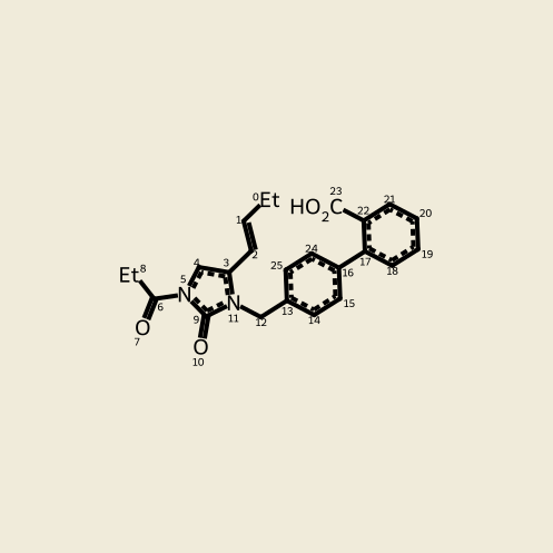 CC/C=C/c1cn(C(=O)CC)c(=O)n1Cc1ccc(-c2ccccc2C(=O)O)cc1